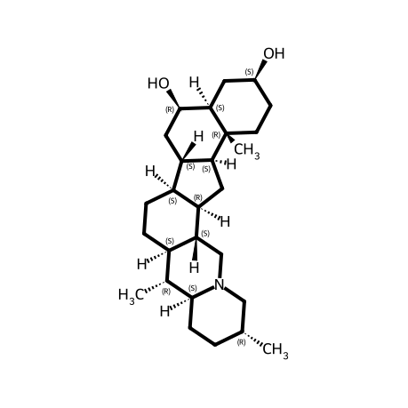 C[C@@H]1CC[C@H]2[C@H](C)[C@H]3CC[C@@H]4[C@@H](C[C@H]5[C@H]4C[C@@H](O)[C@H]4C[C@@H](O)CC[C@@]45C)[C@@H]3CN2C1